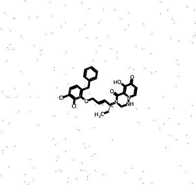 CC[C@H](/C=C/COc1c(Cc2ccccc2)ccc(Cl)c1Cl)N1CNn2ccc(=O)c(O)c2C1=O